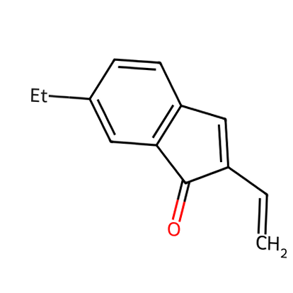 C=CC1=Cc2ccc(CC)cc2C1=O